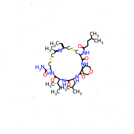 C/C=C1CSCC(NC(=O)CCC(C)C)C(=O)NC2(CCOCC2)C(=O)N[C@@H](CC(C)C)C(=O)N[C@@H]([C@@H](C)CC)C(=O)N[C@H](C(N)=O)CSC/C(C)=N/1